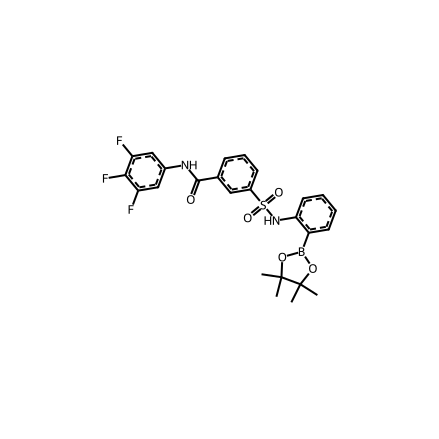 CC1(C)OB(c2ccccc2NS(=O)(=O)c2cccc(C(=O)Nc3cc(F)c(F)c(F)c3)c2)OC1(C)C